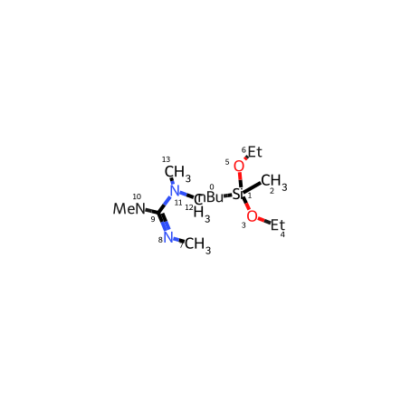 CCCC[Si](C)(OCC)OCC.CN=C(NC)N(C)C